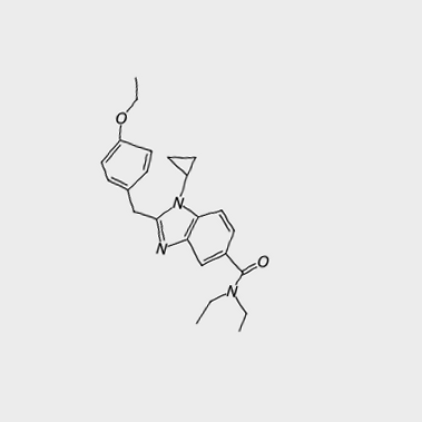 CCOc1ccc(Cc2nc3cc(C(=O)N(CC)CC)ccc3n2C2CC2)cc1